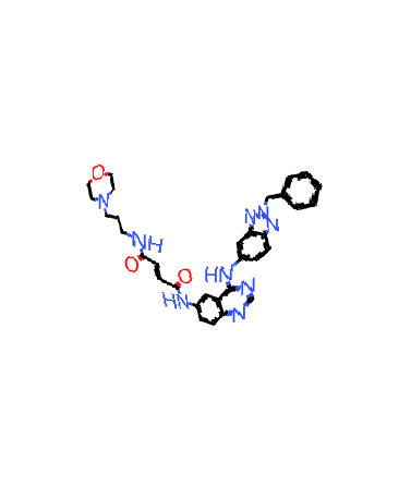 O=C(C=CC(=O)Nc1ccc2ncnc(Nc3ccc4nn(Cc5ccccc5)nc4c3)c2c1)NCCCN1CCOCC1